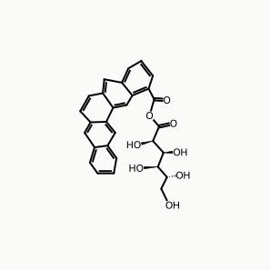 O=C(OC(=O)[C@H](O)[C@@H](O)[C@H](O)[C@H](O)CO)c1cccc2cc3ccc4cc5ccccc5cc4c3cc12